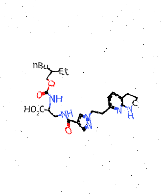 CCCCC(CC)COC(=O)N[C@@H](CNC(=O)c1cnn(CCc2ccc3c(n2)NCCC3)c1)C(=O)O